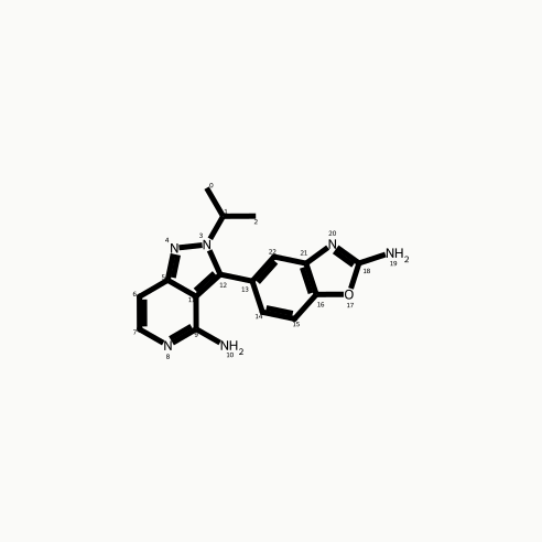 CC(C)n1nc2ccnc(N)c2c1-c1ccc2oc(N)nc2c1